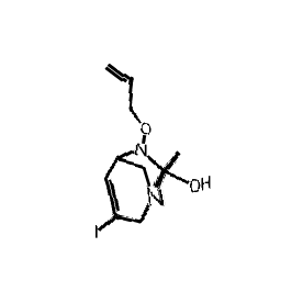 C=CCON1C2C=C(I)CN(C2)C1(C)O